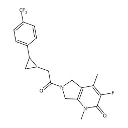 Cc1c2c(n(C)c(=O)c1F)CN(C(=O)CC1CC1c1ccc(C(F)(F)F)cc1)C2